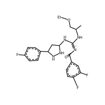 CCOCC(C)N/C(=N/C(=O)c1ccc(F)c(F)c1)NC1CC(c2ccc(F)cc2)NN1